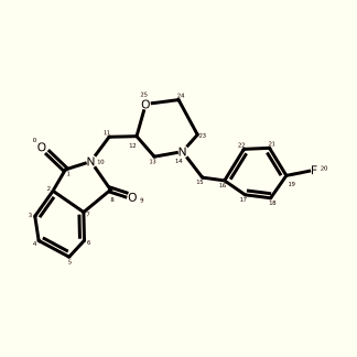 O=C1c2ccccc2C(=O)N1CC1CN(Cc2ccc(F)cc2)CCO1